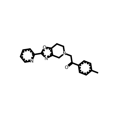 Cc1ccc(C(=O)CN2CCc3oc(-c4ccccn4)nc3C2)cc1